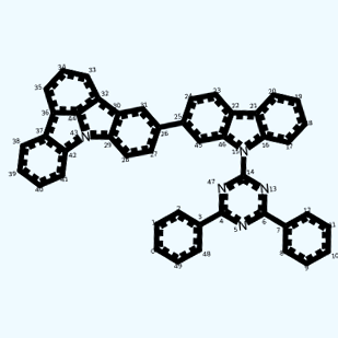 c1ccc(-c2nc(-c3ccccc3)nc(-n3c4ccccc4c4ccc(-c5ccc6c(c5)c5cccc7c8ccccc8n6c75)cc43)n2)cc1